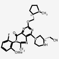 COc1cccc(F)c1-n1c(C(F)(F)F)nc2c(N3CCN[C@@H](CC#N)C3)nc(OC[C@@H]3CCCN3C)nc2c1=O